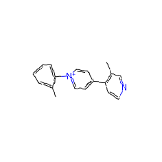 Cc1cnccc1-c1cc[n+](-c2ccccc2C)cc1